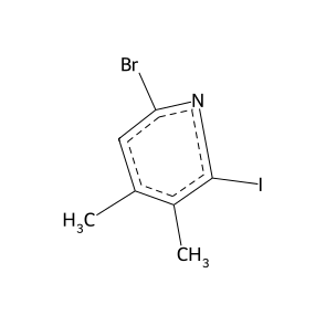 Cc1cc(Br)nc(I)c1C